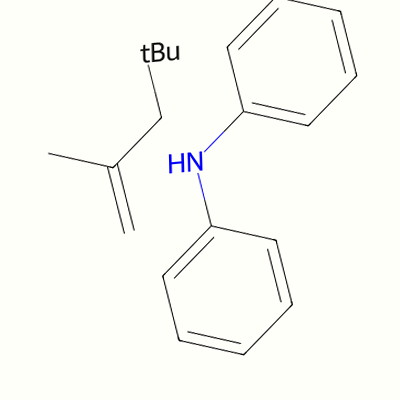 C=C(C)CC(C)(C)C.c1ccc(Nc2ccccc2)cc1